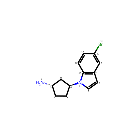 N[C@H]1CC[C@H](n2ccc3cc(Br)ccc32)C1